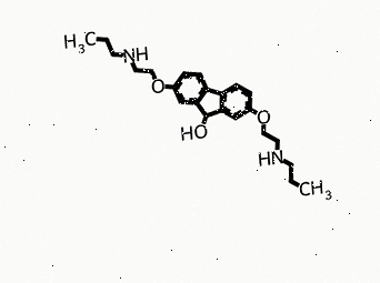 CCCNCCOc1ccc2c(c1)C(O)c1cc(OCCNCCC)ccc1-2